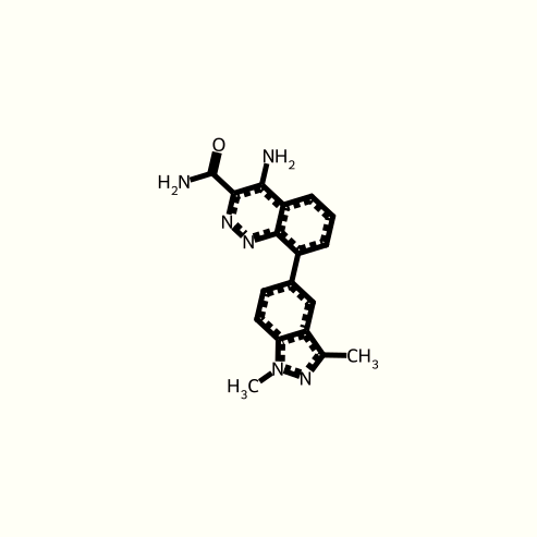 Cc1nn(C)c2ccc(-c3cccc4c(N)c(C(N)=O)nnc34)cc12